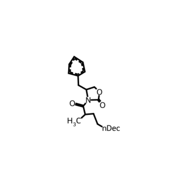 CCCCCCCCCCCCC(C)C(=O)N1C(=O)OCC1Cc1ccccc1